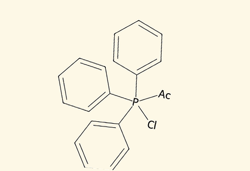 CC(=O)P(Cl)(c1ccccc1)(c1ccccc1)c1ccccc1